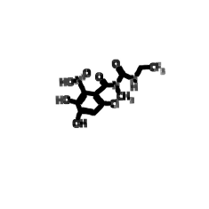 CN(C(=O)NCC(F)(F)F)C(=O)c1c(Cl)cc(O)c(O)c1[N+](=O)O